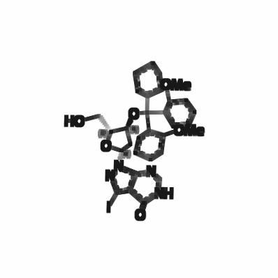 COc1ccccc1C(O[C@H]1C[C@H](n2nc(I)c3c(=O)[nH]cnc32)O[C@@H]1CO)(c1ccccc1)c1ccccc1OC